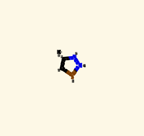 [K].c1csnn1